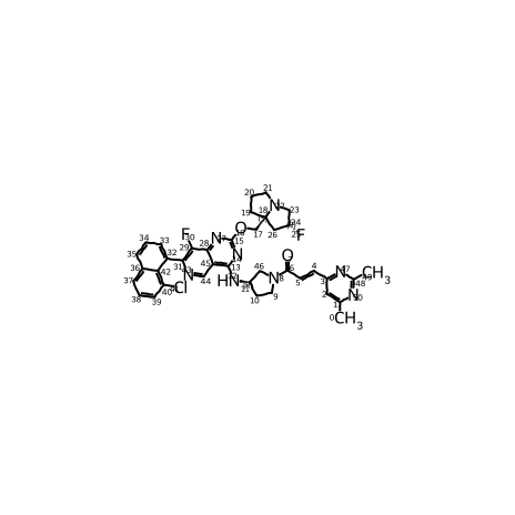 Cc1cc(C=CC(=O)N2CC[C@@H](Nc3nc(OC[C@@]45CCCN4C[C@H](F)C5)nc4c(F)c(-c5cccc6cccc(Cl)c56)ncc34)C2)nc(C)n1